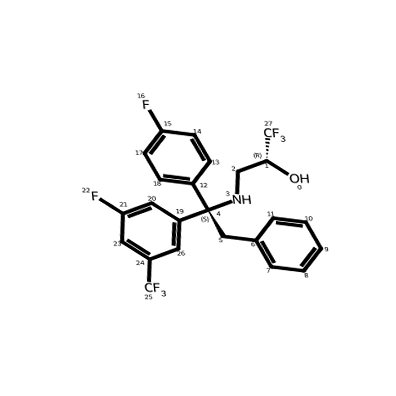 O[C@H](CN[C@@](Cc1ccccc1)(c1ccc(F)cc1)c1cc(F)cc(C(F)(F)F)c1)C(F)(F)F